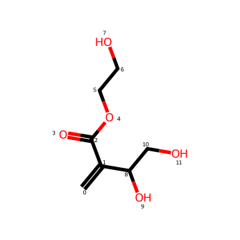 C=C(C(=O)OCCO)C(O)CO